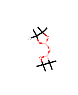 CCC1(C)OB(OB2OC(C)(C)C2(C)C)OC1(C)C